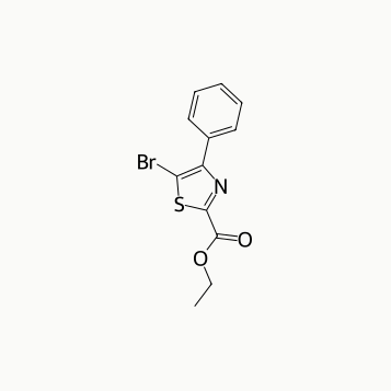 CCOC(=O)c1nc(-c2ccccc2)c(Br)s1